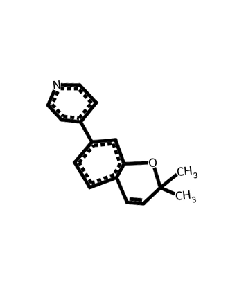 CC1(C)C=Cc2ccc(-c3ccncc3)cc2O1